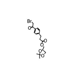 CC1(C)OCC(COC(=O)CCc2ccc(C(=O)CBr)cc2)O1